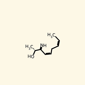 C/C=C\C/C=C\C(=N)[C@@H](C)O